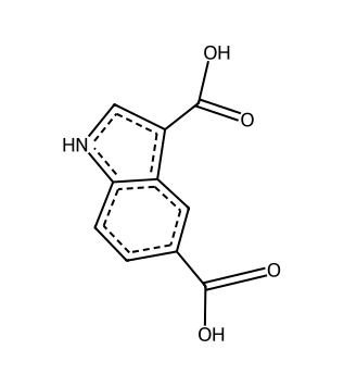 O=C(O)c1ccc2[nH]cc(C(=O)O)c2c1